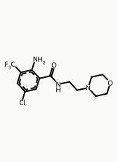 Nc1c(C(=O)NCCN2CCOCC2)cc(Cl)cc1C(F)(F)F